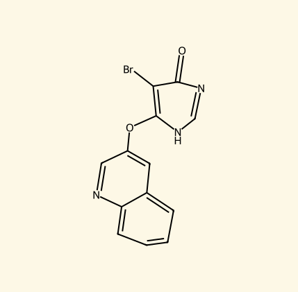 O=c1nc[nH]c(Oc2cnc3ccccc3c2)c1Br